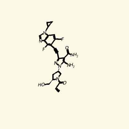 C=CC(=O)N1C[C@@H](n2nc(C#Cc3c(F)cc4c(ncn4C4CC4)c3F)c(C(N)=O)c2N)C[C@@H]1CO